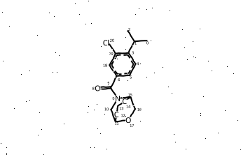 CC(C)c1ccc(C(=O)N2CC3CCCC2CO3)cc1Cl